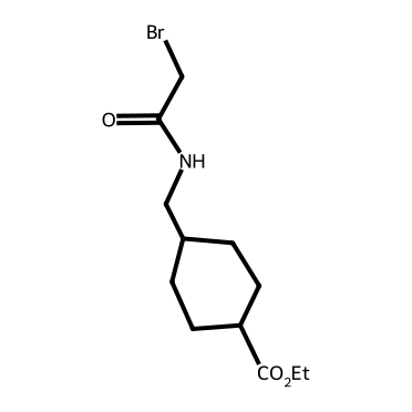 CCOC(=O)C1CCC(CNC(=O)CBr)CC1